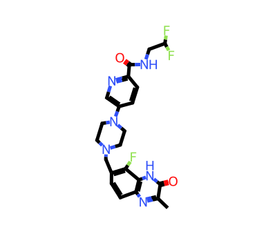 Cc1nc2ccc(CN3CCN(c4ccc(C(=O)NCC(F)F)nc4)CC3)c(F)c2[nH]c1=O